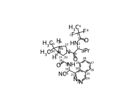 CC(C)C(NC(=O)C(C)(F)F)C(=O)N1C[C@H]2[C@@H]([C@H]1C(=O)NC(C#N)c1nncc3ccccc13)C2(C)C